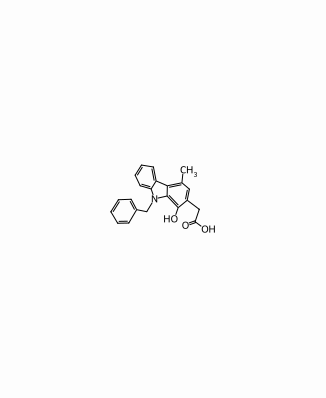 Cc1cc(CC(=O)O)c(O)c2c1c1ccccc1n2Cc1ccccc1